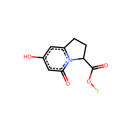 O=C(OF)C1CCc2cc(O)cc(=O)n21